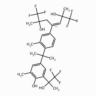 Cc1cc(/C(=C/C(C)(O)C(F)(F)F)CC(C)(O)C(F)(F)F)ccc1C(C)(C)c1cc(C)c(O)c(C(C)(O)C(F)(F)F)c1